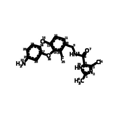 Cc1nc(Cl)c(C(=O)NCc2ccc(Cl)c(Oc3cccc(N)c3)c2F)[nH]1